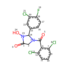 O=C1CN(C(=O)c2c(Cl)cccc2Cl)C(c2ccc(F)c(Cl)c2)N1O